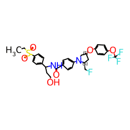 CCS(=O)(=O)c1ccc(C(CCO)NC(=O)c2ccc(N3C[C@@H](Oc4ccc(OC(F)(F)F)cc4)C[C@H]3CF)cc2)cc1